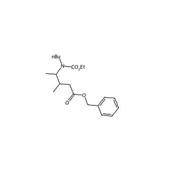 CCCCN(C(=O)OCC)C(C)C(C)CC(=O)OCc1ccccc1